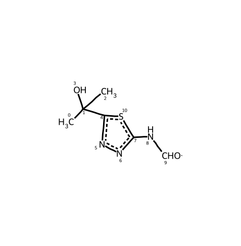 CC(C)(O)c1nnc(N[C]=O)s1